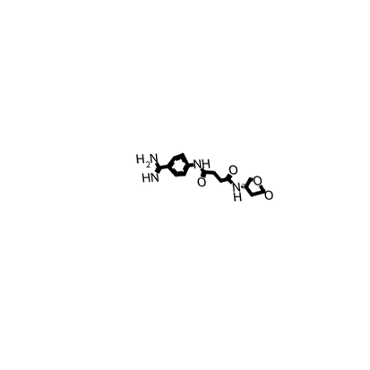 N=C(N)c1ccc(NC(=O)CCC(=O)N[C@@H]2COC(=O)C2)cc1